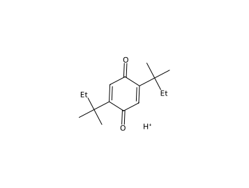 CCC(C)(C)C1=CC(=O)C(C(C)(C)CC)=CC1=O.[H+]